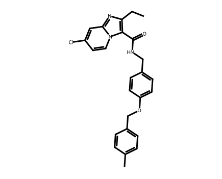 CCc1nc2cc(Cl)ccn2c1C(=O)NCc1ccc(OCc2ccc(C)cc2)cc1